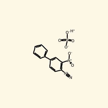 N#[N+]c1ccc(-c2ccccc2)cc1[N+](=O)[O-].O=S(=O)([O-])[O-].[H+]